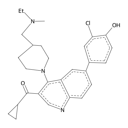 CCN(C)CC1CCN(c2c(C(=O)C3CC3)cnc3ccc(-c4ccc(O)c(Cl)c4)cc23)CC1